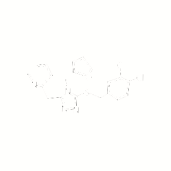 Clc1ccc(CSc2nnc(Cc3ccccn3)n2Cc2ccco2)cc1Cl